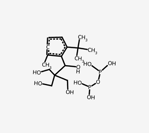 Cc1cccc(C(C)(C)C)c1C(O)C(CO)(CO)CO.OP(O)OP(O)O